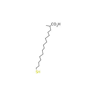 CC(CCCCCCCCCCCCCCS)C(=O)O